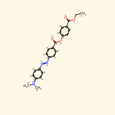 CCOC(=O)c1ccc(OC(=O)c2ccc(N=Nc3ccc(N(C)C)cc3)cc2)cc1